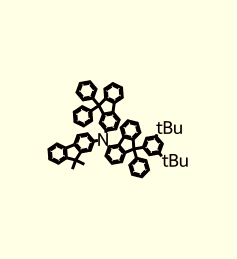 CC(C)(C)c1cc(C(C)(C)C)cc(C2(c3ccccc3)c3ccccc3-c3c(N(c4ccc5c(c4)C(C)(C)c4ccccc4-5)c4ccc5c(c4)C(c4ccccc4)(c4ccccc4)c4ccccc4-5)cccc32)c1